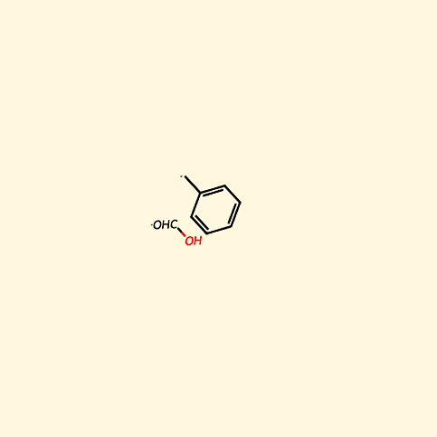 O=[C]O.[CH2]c1ccccc1